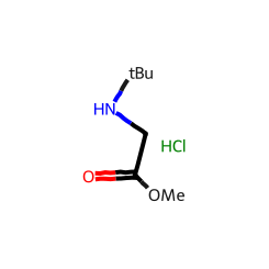 COC(=O)CNC(C)(C)C.Cl